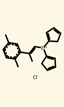 C/C(=[CH]\[Zr+]([C]1=CC=CC1)[C]1=CC=CC1)c1cc(C)ccc1C.[Cl-]